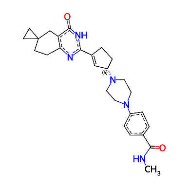 CNC(=O)c1ccc(N2CCN([C@@H]3C=C(c4nc5c(c(=O)[nH]4)CC4(CC5)CC4)CC3)CC2)cc1